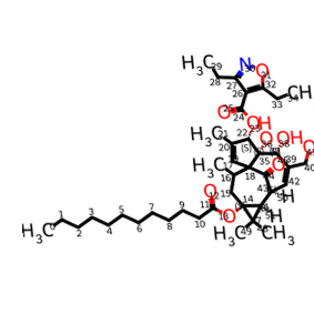 CCCCCCCCCCCC(=O)O[C@@]12CC(C)C34C=C(C)[C@H](OC(=O)c5c(CC)noc5CC)[C@@]3(O)[C@H](O)C(CO)=C[C@H](C4=O)[C@H]1C2(C)C